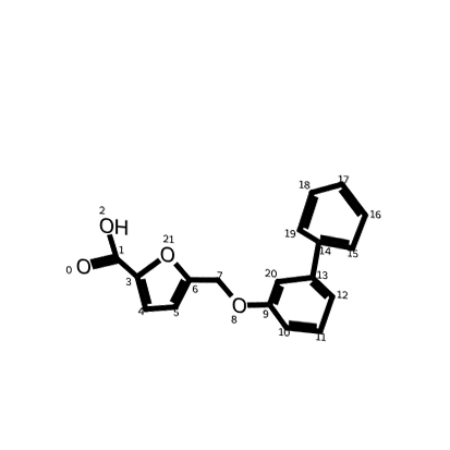 O=C(O)c1ccc(COc2cccc(-c3ccccc3)c2)o1